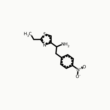 CCc1nc(C(N)Cc2ccc([N+](=O)[O-])cc2)cs1